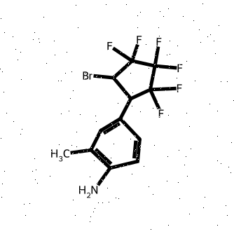 Cc1cc(C2C(Br)C(F)(F)C(F)(F)C2(F)F)ccc1N